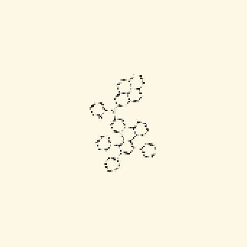 c1ccc(-c2cc(-c3ccccc3)c3c4ccccc4c4cc(N(c5cc6ccc7cccc8ccc(c5)c6c78)c5ccccn5)ccc4c3c2-c2ccccc2)cc1